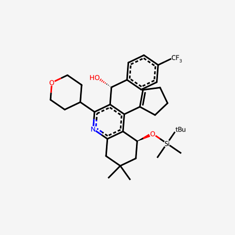 CC1(C)Cc2nc(C3CCOCC3)c([C@H](O)c3ccc(C(F)(F)F)cc3)c(C3=CCCC3)c2[C@@H](O[Si](C)(C)C(C)(C)C)C1